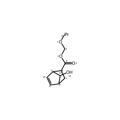 CC(C)OCOC(=O)C1CC2C=CC1C2O